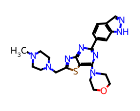 CN1CCN(Cc2nc3nc(-c4ccc5cn[nH]c5c4)nc(N4CCOCC4)c3s2)CC1